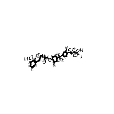 CCC(CC)(c1ccc(C=CC(O)(C(F)(F)F)C(F)(F)F)c(C)c1)c1ccc(OCC(=O)N[C@@H](Cc2ccccc2)C(=O)O)c(C)c1